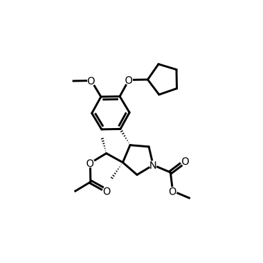 COC(=O)N1C[C@@H](c2ccc(OC)c(OC3CCCC3)c2)[C@](C)([C@@H](C)OC(C)=O)C1